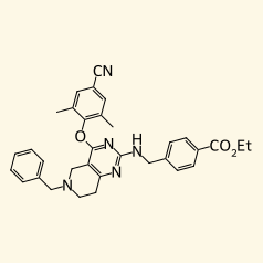 CCOC(=O)c1ccc(CNc2nc3c(c(Oc4c(C)cc(C#N)cc4C)n2)CN(Cc2ccccc2)CC3)cc1